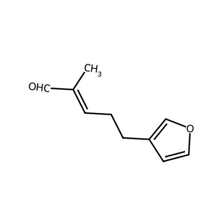 CC(C=O)=CCCc1ccoc1